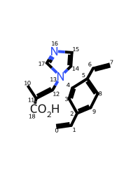 C=Cc1ccc(C=C)cc1.CC(=Cn1ccnc1)C(=O)O